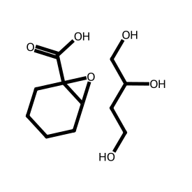 O=C(O)C12CCCCC1O2.OCCC(O)CO